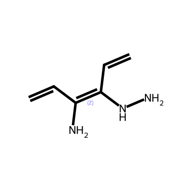 C=C/C(N)=C(\C=C)NN